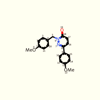 COc1ccc(Cn2nc(-c3ccc(OC)cc3)ccc2=O)cc1